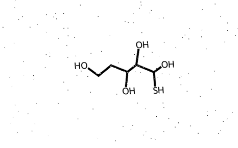 OCCC(O)C(O)C(O)S